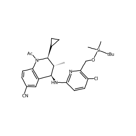 CC(=O)N1c2ccc(C#N)cc2[C@H](Nc2ccc(Cl)c(CO[Si](C)(C)C(C)(C)C)n2)[C@@H](C)[C@@H]1C1CC1